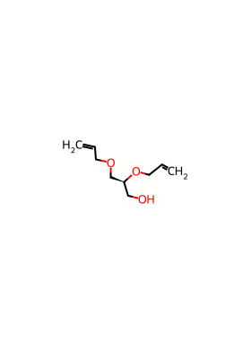 C=CCOC[C@H](CO)OCC=C